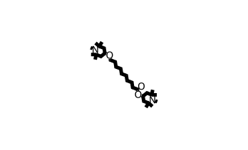 CN1C(C)(C)CC(OCCCCCCCCCC(=O)OC2CC(C)(C)N(C)C(C)(C)C2)CC1(C)C